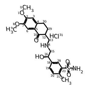 COc1cc2c(cc1OC)C(=O)C(CNCC(O)c1ccc(C)c(S(N)(=O)=O)c1)CC2.Cl